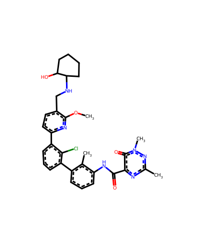 COc1nc(-c2cccc(-c3cccc(NC(=O)c4nc(C)nn(C)c4=O)c3C)c2Cl)ccc1CNC1CCCCC1O